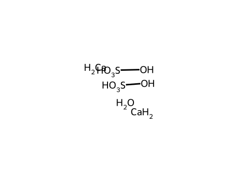 O.O=S(=O)(O)O.O=S(=O)(O)O.[CaH2].[CaH2]